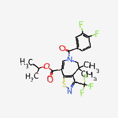 CC(C)OC(=O)C1=CN(C(=O)c2ccc(F)c(F)c2)CC(C)(C)c2c(C(F)(F)F)nsc21